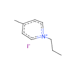 CCC[n+]1ccc(C)cc1.[I-]